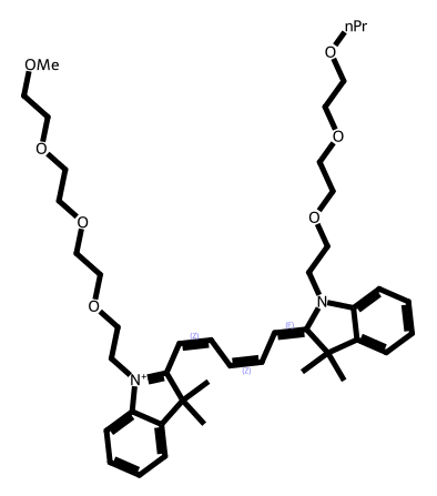 CCCOCCOCCOCCN1/C(=C/C=C\C=C/C2=[N+](CCOCCOCCOCCOC)c3ccccc3C2(C)C)C(C)(C)c2ccccc21